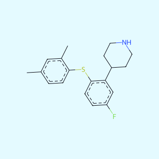 Cc1ccc(Sc2ccc(F)cc2C2CCNCC2)c(C)c1